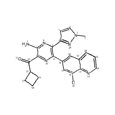 Cn1ccc(-c2nc(N)c(C(=O)C3CCC3)nc2-c2cc(Cl)c3ncccc3c2)n1